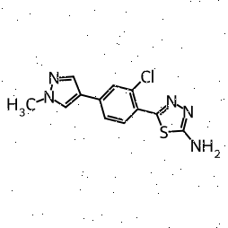 Cn1cc(-c2ccc(-c3nnc(N)s3)c(Cl)c2)cn1